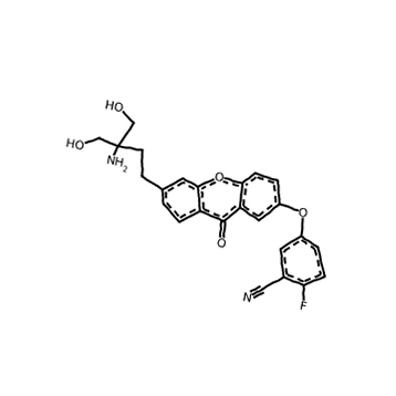 N#Cc1cc(Oc2ccc3oc4cc(CCC(N)(CO)CO)ccc4c(=O)c3c2)ccc1F